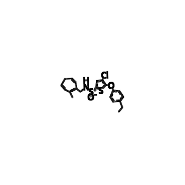 CCc1ccc(Oc2sc([S+]([O-])NCC3=C(C)C=CCC=C3)cc2Cl)cc1